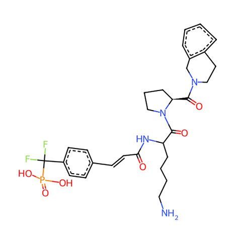 NCCCCC(NC(=O)/C=C/c1ccc(C(F)(F)P(=O)(O)O)cc1)C(=O)N1CCC[C@H]1C(=O)N1CCc2ccccc2C1